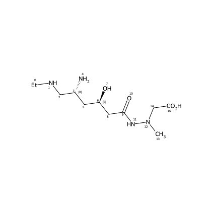 CCNC[C@H](N)C[C@@H](O)CC(=O)NN(C)CC(=O)O